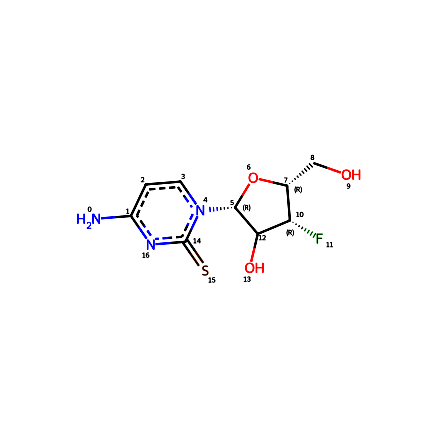 Nc1ccn([C@@H]2O[C@H](CO)[C@H](F)C2O)c(=S)n1